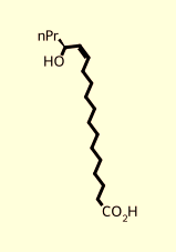 CCC[C@H](O)/C=C\CCCCCCCCCCCC(=O)O